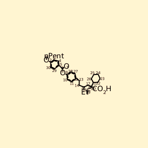 CCCCCOc1ccc(C(=O)Oc2ccc(CCC(CC)C[C@@](F)(C(=O)O)C3CCCCC3)cc2)cc1